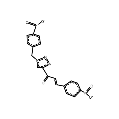 O=C(C=Cc1ccc([N+](=O)[O-])cc1)c1cn(Cc2ccc([N+](=O)[O-])cc2)nn1